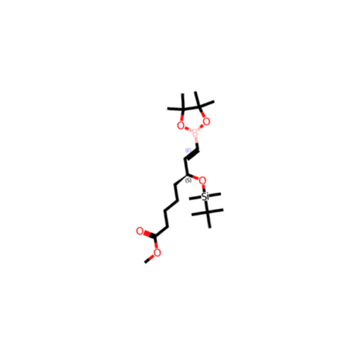 COC(=O)CCCC[C@@H](/C=C/B1OC(C)(C)C(C)(C)O1)O[Si](C)(C)C(C)(C)C